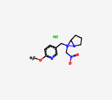 COc1ccc(C[N+]2(C[N+](=O)[O-])C3CCCN32)cn1.Cl